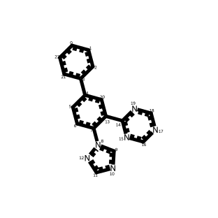 c1ccc(-c2ccc(-n3cncn3)c(-c3ncncn3)c2)cc1